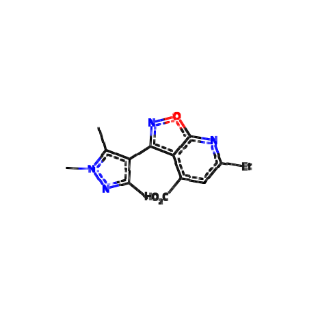 CCc1cc(C(=O)O)c2c(-c3c(C)nn(C)c3C)noc2n1